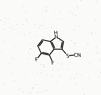 N#CSc1c[nH]c2ccc(F)c(F)c12